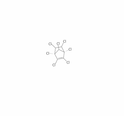 ClC1=C(Cl)[C@]2(Cl)C(Cl)C(Cl)[C@@]1(Cl)C2Cl